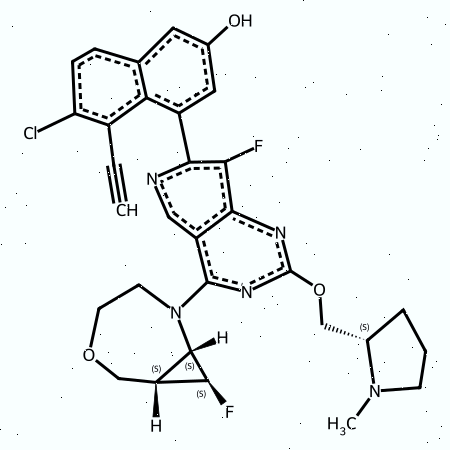 C#Cc1c(Cl)ccc2cc(O)cc(-c3ncc4c(N5CCOC[C@H]6[C@H](F)[C@H]65)nc(OC[C@@H]5CCCN5C)nc4c3F)c12